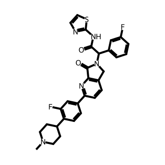 CN1CCC(c2ccc(-c3ccc4c(n3)C(=O)N(C(C(=O)Nc3nccs3)c3cccc(F)c3)C4)cc2F)CC1